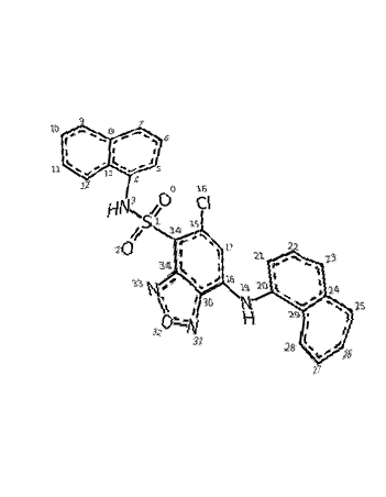 O=S(=O)(Nc1cccc2ccccc12)c1c(Cl)cc(Nc2cccc3ccccc23)c2nonc12